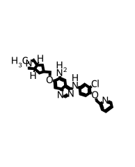 CN1C[C@H]2CC(COc3cc4ncnc(Nc5ccc(OCc6ccccn6)c(Cl)c5)c4cc3N)C[C@H]2C1